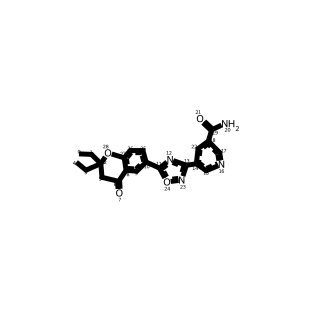 CCC1(CC)CC(=O)c2cc(-c3nc(-c4cncc(C(N)=O)c4)no3)ccc2O1